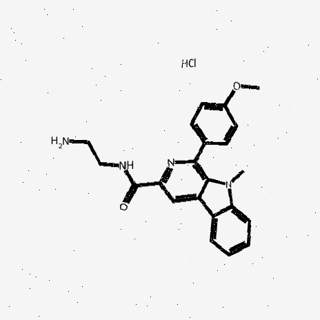 COc1ccc(-c2nc(C(=O)NCCN)cc3c4ccccc4n(C)c23)cc1.Cl